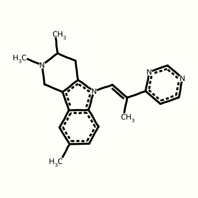 C/C(=C\n1c2c(c3cc(C)ccc31)CN(C)C(C)C2)c1ccncn1